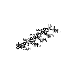 COc1ccc(CC(=O)[C@@H](CCCNC(=N)N)NC(=O)c2cc(CC(=O)[C@@H](CCCNC(=N)N)NC(=O)c3cc(CC(=O)[C@@H](CCCNC(=N)N)NC(=O)c4cc(CC(=O)[C@H](N)CCCNC(=N)N)ccc4OC)ccc3OC)ccc2OC)cc1C(=O)N[C@H](Cc1c[nH]c2ccccc12)C(=O)O